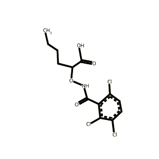 CCCCC(ONC(=O)c1c(Cl)ccc(Cl)c1Cl)C(=O)O